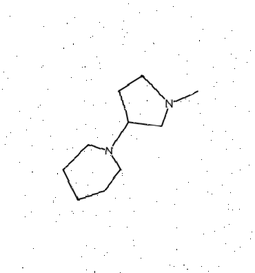 CN1CCC(N2CCCCC2)C1